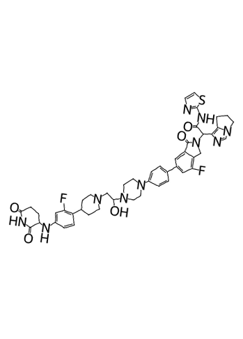 O=C1CCC(Nc2ccc(C3CCN(CC(O)N4CCN(c5ccc(-c6cc(F)c7c(c6)C(=O)N(C(C(=O)Nc6nccs6)c6ncn8c6CCC8)C7)cc5)CC4)CC3)c(F)c2)C(=O)N1